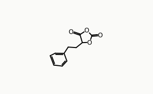 O=C1OC(=O)C(CCc2ccccc2)O1